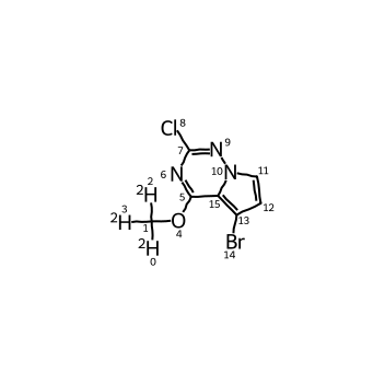 [2H]C([2H])([2H])Oc1nc(Cl)nn2ccc(Br)c12